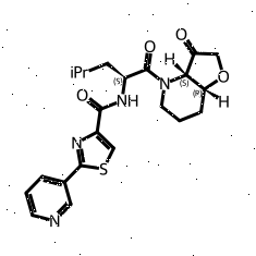 CC(C)C[C@H](NC(=O)c1csc(-c2cccnc2)n1)C(=O)N1CCC[C@H]2OCC(=O)[C@H]21